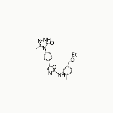 CCOCc1ccc(C)c(Nc2ncc(-c3ccc(-n4c(C)n[nH]c4=O)cc3)o2)c1